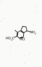 Cc1c(C(=O)O)ccc2c1CCC2N.Cl